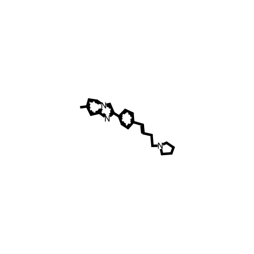 Cc1ccn2cc(-c3ccc(C=CCCN4CCCC4)cc3)nc2c1